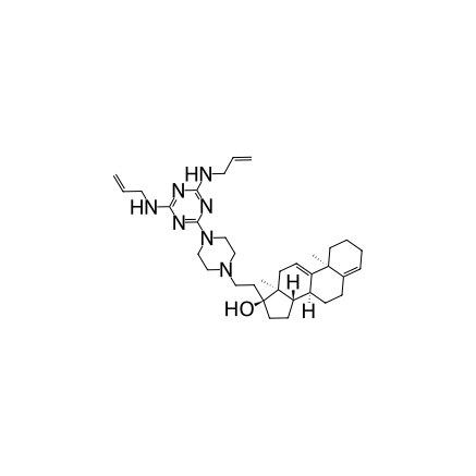 C=CCNc1nc(NCC=C)nc(N2CCN(CC[C@@]3(O)CC[C@H]4[C@@H]5CCC6=CCCC[C@]6(C)C5=CC[C@@]43C)CC2)n1